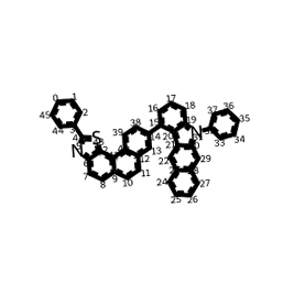 c1ccc(-c2nc3ccc4ccc5cc(-c6cccc7c6c6cc8ccccc8cc6n7-c6ccccc6)ccc5c4c3s2)cc1